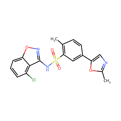 Cc1ncc(-c2ccc(C)c(S(=O)(=O)Nc3noc4cccc(Cl)c34)c2)o1